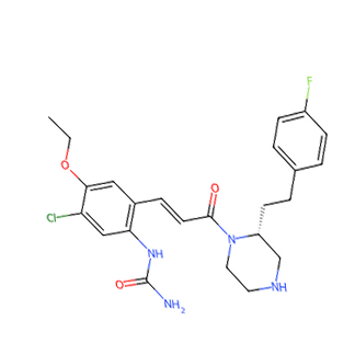 CCOc1cc(/C=C/C(=O)N2CCNC[C@H]2CCc2ccc(F)cc2)c(NC(N)=O)cc1Cl